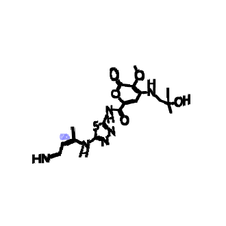 COc1c(NCC(C)(C)O)cc(C(=O)Nc2nnc(N/C(C)=C\C=N)s2)oc1=O